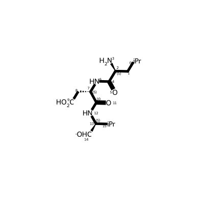 CC(C)C[C@H](N)C(=O)N[C@@H](CC(=O)O)C(=O)N[C@H]([C]=O)C(C)C